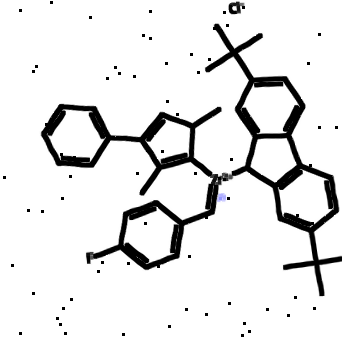 CC1=[C](/[Zr+2](=[CH]\c2ccc(F)cc2)[CH]2c3cc(C(C)(C)C)ccc3-c3ccc(C(C)(C)C)cc32)C(C)C=C1c1ccccc1.[Cl-].[Cl-]